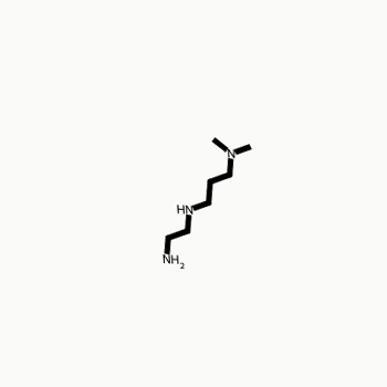 CN(C)CCCNCCN